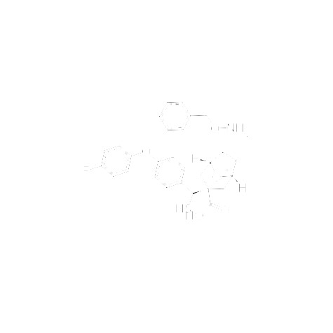 NOCc1ccccc1.O=C(O)[C@@]1(C(S)c2ccc(Oc3ccc(F)cc3)cc2)C[C@H]2CC[C@@H](C1)O2